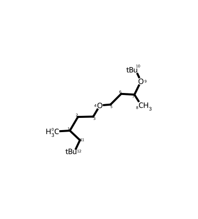 CC(CCOCCC(C)OC(C)(C)C)CC(C)(C)C